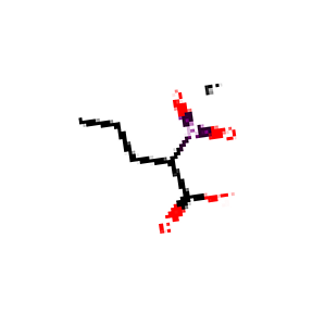 CCCC(C(=O)[O-])P(=O)=O.[K+]